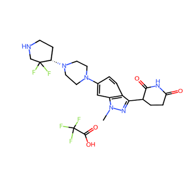 Cn1nc(C2CCC(=O)NC2=O)c2ccc(N3CCN([C@H]4CCNCC4(F)F)CC3)cc21.O=C(O)C(F)(F)F